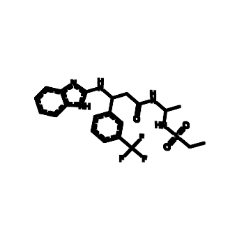 CCS(=O)(=O)NC(C)NC(=O)CC(Nc1nc2ccccc2[nH]1)c1cccc(C(F)(F)F)c1